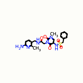 Cc1nc(N)ccc1CNC(=O)Cn1c(=O)c(NS(=O)(=O)Cc2ccccc2)cn(C)c1=O